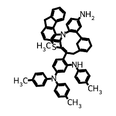 C/C=C1\C2=C(c3ccc(N(c4ccc(C)cc4)c4ccc(C)cc4)cc3Nc3ccc(C)cc3)CC3=CCC=C(C3)c3cc(N)ccc3N1c1c(ccc3c1-c1ccccc1C3)S2